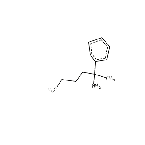 CCCCC(C)(N)c1ccccc1